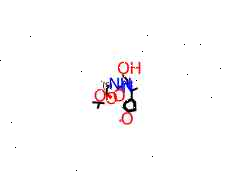 COc1ccc(C(C)N(CCO)C(=O)N[C@@H](C)C(=O)OC(C)(C)C)cc1